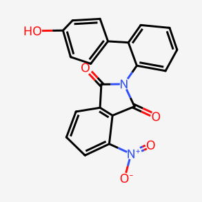 O=C1c2cccc([N+](=O)[O-])c2C(=O)N1c1ccccc1-c1ccc(O)cc1